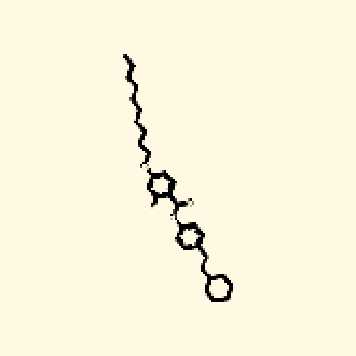 CCCCCCCCCCOc1ccc(C(=O)Oc2ccc(CCC3CC[CH]CC3)cc2)c(F)c1